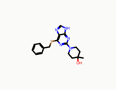 CC1(O)CCN(c2nc(SCc3ccccc3)c3nc[nH]c3n2)CC1